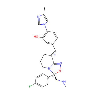 CNC[C@]1(c2ccc(F)cc2)ON=C2/C(=C/c3ccc(-n4cnc(C)c4)c(O)c3)CCCN21